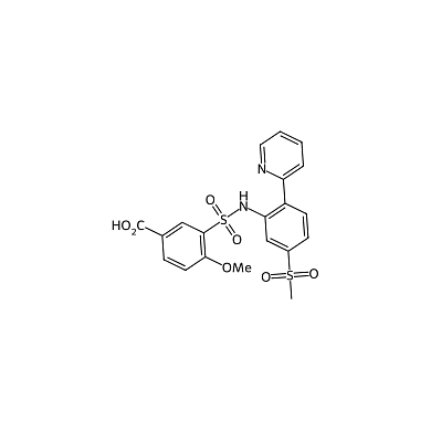 COc1ccc(C(=O)O)cc1S(=O)(=O)Nc1cc(S(C)(=O)=O)ccc1-c1ccccn1